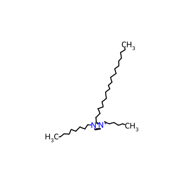 CCCCCCCCCCCCCCCCCCCc1n(CCCCCCCCC)cc[n+]1CCCCCC